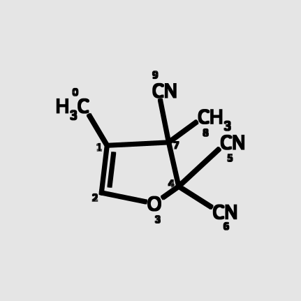 CC1=COC(C#N)(C#N)C1(C)C#N